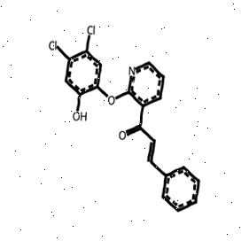 O=C(C=Cc1ccccc1)c1cccnc1Oc1cc(Cl)c(Cl)cc1O